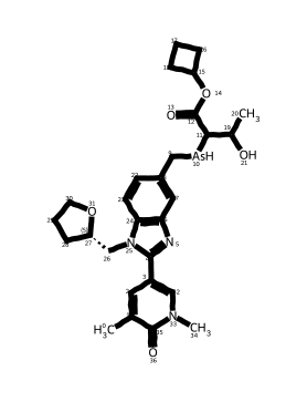 Cc1cc(-c2nc3cc(C[AsH]C(C(=O)OC4CCC4)C(C)O)ccc3n2C[C@@H]2CCCO2)cn(C)c1=O